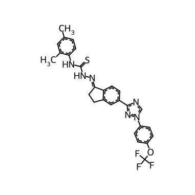 Cc1ccc(NC(=S)NN=C2CCc3cc(-c4ncn(-c5ccc(OC(F)(F)F)cc5)n4)ccc32)c(C)c1